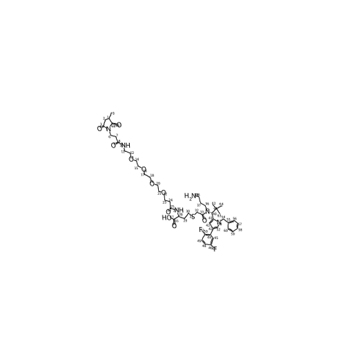 CC1CC(=O)N(CCC(=O)NCCOCCOCCOCCOCCC(=O)NC(CCSCC(=O)N(CCCN)[C@@H](c2cc(-c3cc(F)ccc3F)cn2Cc2ccccc2)C(C)(C)C)C(=O)O)C1=O